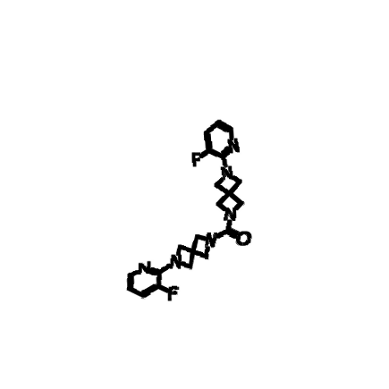 O=C(N1CC2(C1)CN(c1ncccc1F)C2)N1CC2(C1)CN(c1ncccc1F)C2